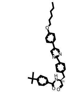 CCCCCCOc1ccc(-c2cnc(-c3ccc(C[C@@H](C=O)NC(=O)c4ccc(C(C)(C)C)cc4)cc3)nc2)cc1